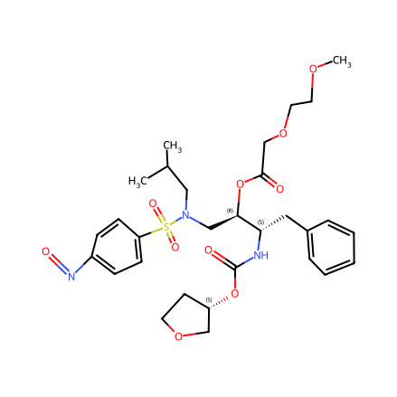 COCCOCC(=O)O[C@H](CN(CC(C)C)S(=O)(=O)c1ccc(N=O)cc1)[C@H](Cc1ccccc1)NC(=O)O[C@H]1CCOC1